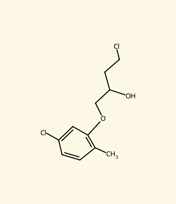 Cc1ccc(Cl)cc1OCC(O)CCCl